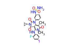 Cc1c(=O)n(C)c(Nc2ccc(I)cc2F)c2c(=O)n(C3CC3)c(=O)n(-c3cccc(NS(N)(=O)=O)c3)c12